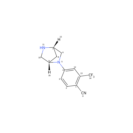 N#Cc1ccc(N2C[C@@H]3C[C@H]2CN3)cc1C(F)(F)F